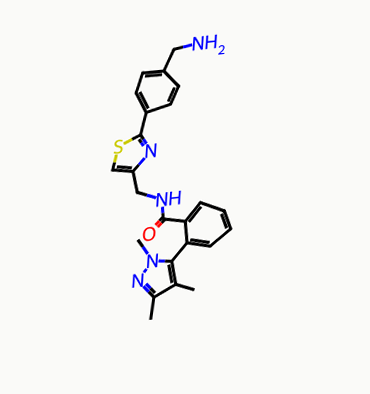 Cc1nn(C)c(-c2ccccc2C(=O)NCc2csc(-c3ccc(CN)cc3)n2)c1C